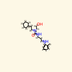 Cc1ccccc1NCCCNC(=O)N(CCO)CCC1CCCCC1